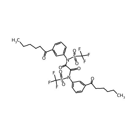 CCCCCC(=O)c1cccc(N(C(=O)C(=O)N(c2cccc(C(=O)CCCCC)c2)S(=O)(=O)C(F)(F)F)S(=O)(=O)C(F)(F)F)c1